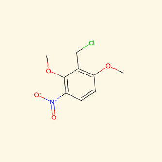 COc1ccc([N+](=O)[O-])c(OC)c1CCl